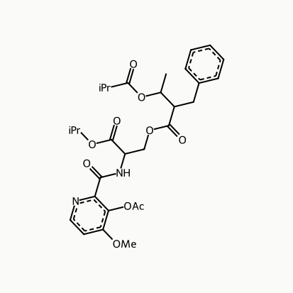 COc1ccnc(C(=O)NC(COC(=O)C(Cc2ccccc2)C(C)OC(=O)C(C)C)C(=O)OC(C)C)c1OC(C)=O